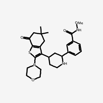 CONC(=O)c1cccc(C2CC(c3c(N4CCOCC4)sc4c3CC(C)(C)CC4=O)CCN2)c1